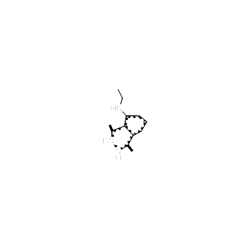 CCNc1cccc2c(=O)[nH][nH]c(=O)c12